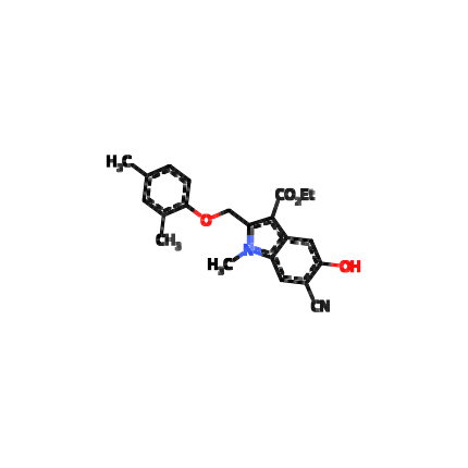 CCOC(=O)c1c(COc2ccc(C)cc2C)n(C)c2cc(C#N)c(O)cc12